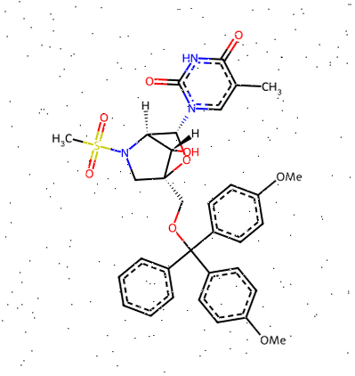 COc1ccc(C(OC[C@@]23CN(S(C)(=O)=O)[C@@H]([C@H](n4cc(C)c(=O)[nH]c4=O)O2)[C@@H]3O)(c2ccccc2)c2ccc(OC)cc2)cc1